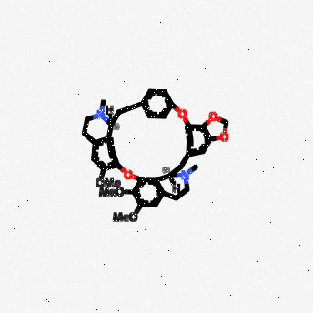 COc1cc2c3cc1Oc1c(OC)c(OC)cc4c1[C@H](Cc1cc5c(c(c1)Oc1ccc(cc1)C[C@@H]3N(C)CC2)OCO5)N(C)CC4